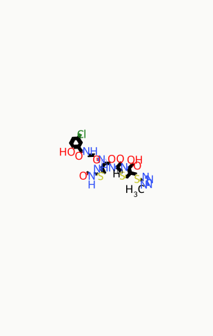 Cn1nnnc1SCC1=C(C(=O)O)N2C(=O)C(NC(=O)/C(=N/OCCNC(=O)c3cc(Cl)ccc3O)c3csc(NC=O)n3)[C@H]2SC1